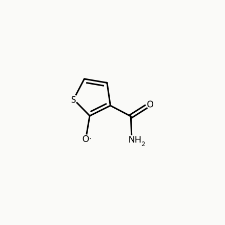 NC(=O)c1ccsc1[O]